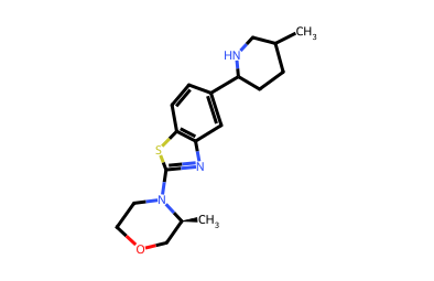 CC1CCC(c2ccc3sc(N4CCOC[C@@H]4C)nc3c2)NC1